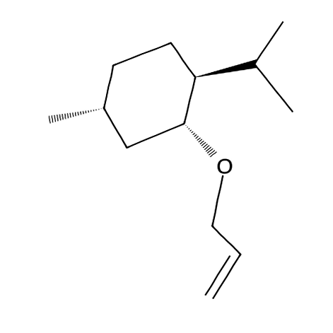 C=CCO[C@@H]1C[C@H](C)CC[C@H]1C(C)C